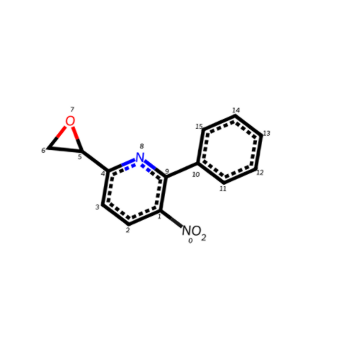 O=[N+]([O-])c1ccc(C2CO2)nc1-c1ccccc1